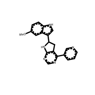 COc1ccc2[nH]cc(C3Cc4c(ncnc4-c4cccnc4)N3)c2c1